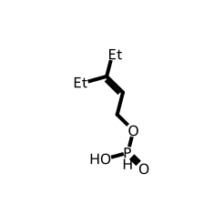 CCC(=CCO[PH](=O)O)CC